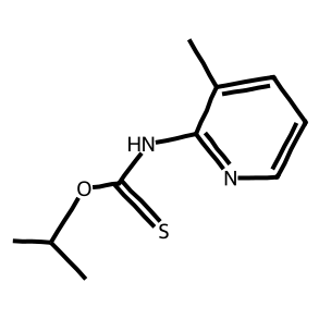 Cc1cccnc1NC(=S)OC(C)C